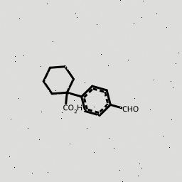 O=Cc1ccc(C2(C(=O)O)CCCCC2)cc1